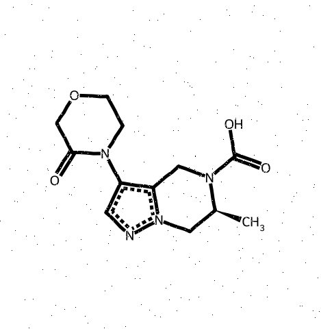 C[C@H]1Cn2ncc(N3CCOCC3=O)c2CN1C(=O)O